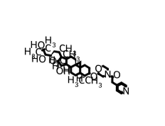 C[C@@H]1C[C@H]([C@H](O)C(C)(C)O)O[C@H]2C1[C@@]1(C)CC[C@@]34CC35CCC(OC3CN(C(=O)Cc6ccncc6)CCO3)C(C)(C)[C@@H]5CC[C@H]4[C@]1(C)[C@H]2O